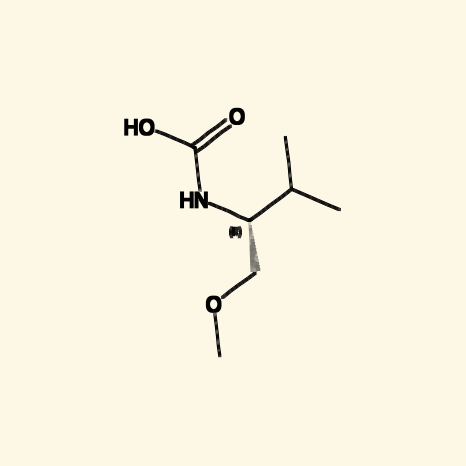 COC[C@H](NC(=O)O)C(C)C